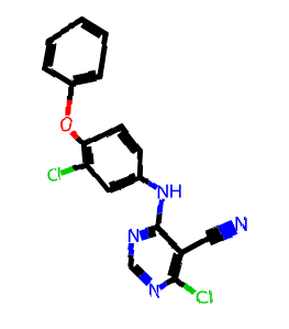 N#Cc1c(Cl)ncnc1Nc1ccc(Oc2ccccc2)c(Cl)c1